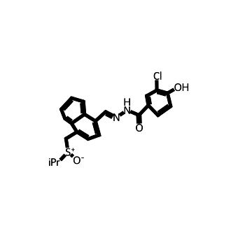 CC(C)[S+]([O-])Cc1ccc(/C=N/NC(=O)c2ccc(O)c(Cl)c2)c2ccccc12